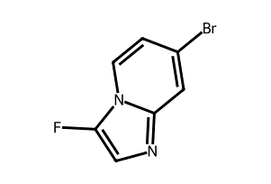 Fc1cnc2cc(Br)ccn12